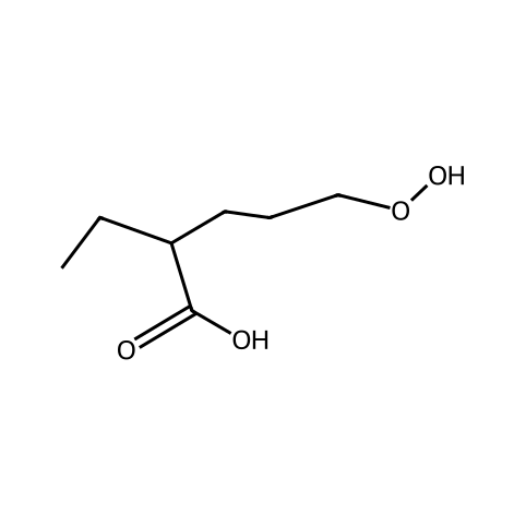 CCC(CCCOO)C(=O)O